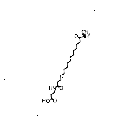 CNC(=O)CCCCCCCCCCCCCCC(=O)NCCC(=O)O